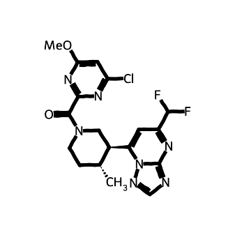 COc1cc(Cl)nc(C(=O)N2CC[C@@H](C)[C@H](c3cc(C(F)F)nc4ncnn34)C2)n1